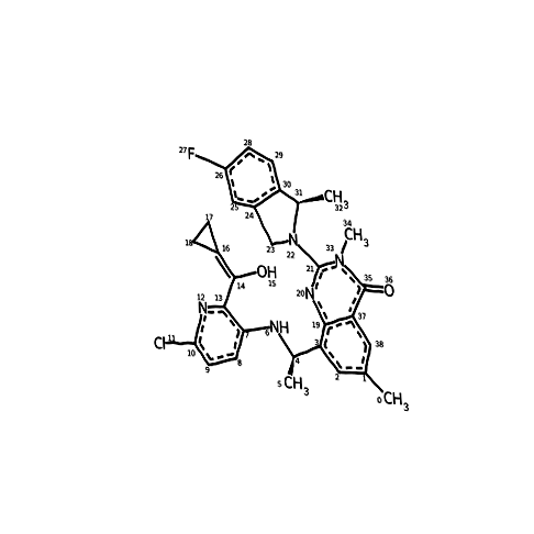 Cc1cc([C@@H](C)Nc2ccc(Cl)nc2C(O)=C2CC2)c2nc(N3Cc4cc(F)ccc4[C@H]3C)n(C)c(=O)c2c1